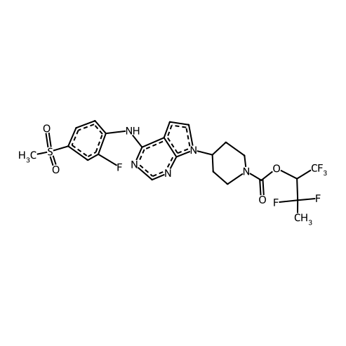 CC(F)(F)C(OC(=O)N1CCC(n2ccc3c(Nc4ccc(S(C)(=O)=O)cc4F)ncnc32)CC1)C(F)(F)F